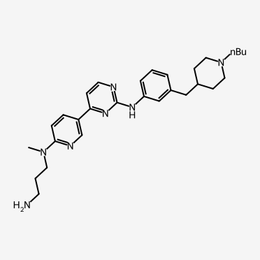 CCCCN1CCC(Cc2cccc(Nc3nccc(-c4ccc(N(C)CCCN)nc4)n3)c2)CC1